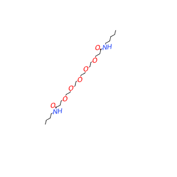 CCCCCNC(=O)CCOCCOCCOCCOCCOCCC(=O)NCCCC